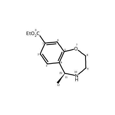 CCOC(=O)c1ccc2c(c1)OCCN[C@H]2C